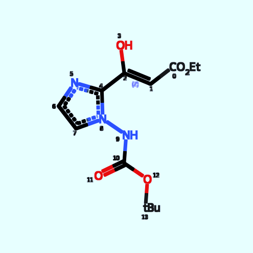 CCOC(=O)/C=C(\O)c1nccn1NC(=O)OC(C)(C)C